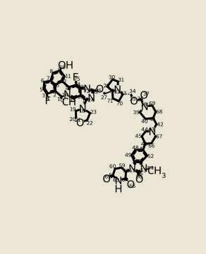 C#Cc1c(F)ccc2cc(O)cc(-c3ncc4c(N5CCOCC5)nc(OC[C@@]56CCCN5[C@H](COC(=O)N5CCC(CN7CCC(c8ccc9c(c8)n(C)c(=O)n9C8CCC(=O)NC8=O)CC7)CC5)CC6)nc4c3F)c12